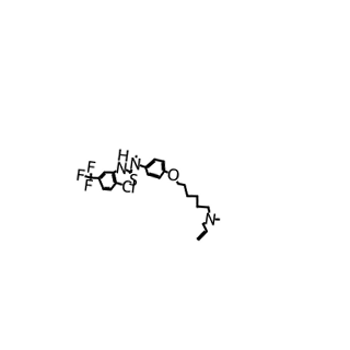 C=CCN(C)CCCCCCOc1ccc(N(C)C(=S)Nc2cc(C(F)(F)F)ccc2Cl)cc1